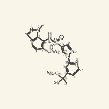 COc1ccc2cnn(C)c2c1NS(=O)(=O)c1cnn(-c2cc(C(C)(C)OC)ccn2)c1